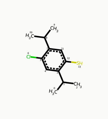 CC(C)c1cc(Cl)c(C(C)C)cc1S